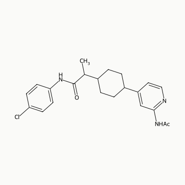 CC(=O)Nc1cc(C2CCC(C(C)C(=O)Nc3ccc(Cl)cc3)CC2)ccn1